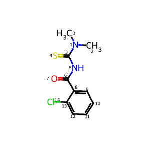 CN(C)C(=S)NC(=O)c1ccccc1Cl